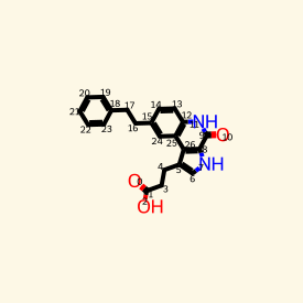 O=C(O)CCc1c[nH]c2c(=O)[nH]c3ccc(CCc4ccccc4)cc3c12